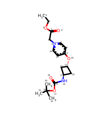 CCOC(=O)C[n+]1ccc(O[C@H]2C[C@H](NC(=O)OC(C)(C)C)C2)cc1